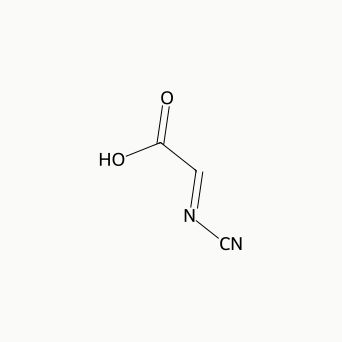 N#CN=CC(=O)O